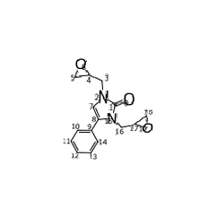 O=c1n(CC2CO2)cc(-c2ccccc2)n1CC1CO1